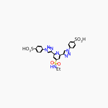 CCNS(=O)(=O)c1cc(-c2cn(-c3ccc(S(=O)(=O)O)cc3)nn2)nc(-c2cn(-c3ccc(S(=O)(=O)O)cc3)nn2)c1